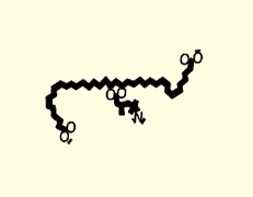 COC(=O)CCCC/C=C\C/C=C\CCCCCCCCC(CCCCCCCC/C=C\C/C=C\CCCCC(=O)OC)OC(=O)CC(C)CC(C)(C)CN(C)C